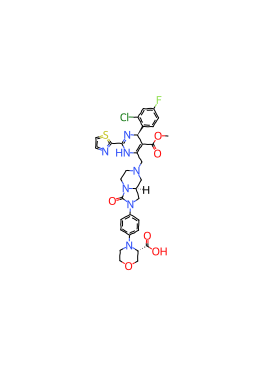 COC(=O)C1=C(CN2CCN3C(=O)N(c4ccc(N5CCOC[C@H]5C(=O)O)cc4)C[C@@H]3C2)NC(c2nccs2)=N[C@H]1c1ccc(F)cc1Cl